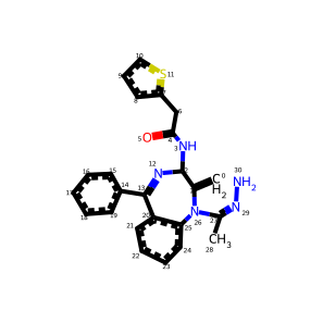 C=C1C(NC(=O)Cc2cccs2)N=C(c2ccccc2)c2ccccc2N1/C(C)=N\N